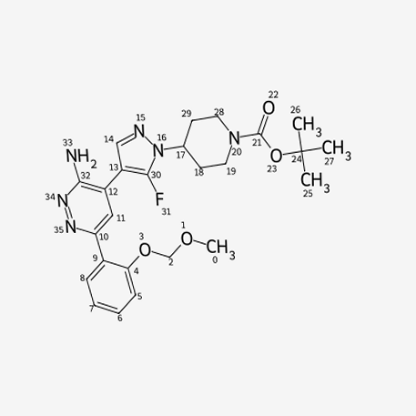 COCOc1ccccc1-c1cc(-c2cnn(C3CCN(C(=O)OC(C)(C)C)CC3)c2F)c(N)nn1